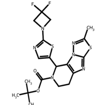 Cc1nn2c3c(nc2s1)CCN(C(=O)OC(C)(C)C)C3c1cnc(N2CC(F)(F)C2)s1